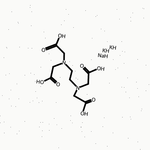 O=C(O)CN(CCN(CC(=O)O)CC(=O)O)CC(=O)O.[KH].[KH].[NaH]